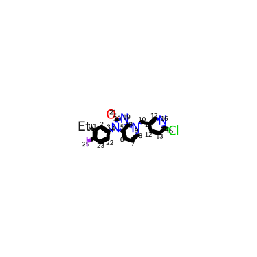 CCc1cc(-n2c3cccn(Cc4ccc(Cl)nc4)c-3nc2=O)ccc1I